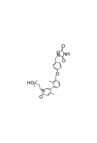 Cc1cc(=O)n(CCC(C)(C)O)cc1-c1cccc(COc2ccc(Cn3oc(=O)[nH]c3=O)cc2)c1C